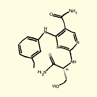 Cc1cccc(Nc2nc(N[C@H](CO)C(N)=O)ncc2C(N)=O)c1